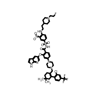 CC1(C)CCC(CN2CCN(c3ccc(C(=O)NS(=O)(=O)c4ccc(NCCC5CCN(CCF)CC5)c([N+](=O)[O-])c4)c(Oc4cnc5[nH]ccc5c4)c3)CC2)=C(c2ccc(C(F)(F)F)cc2Cl)C1